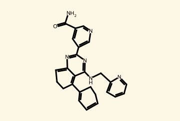 NC(=O)c1cncc(-c2nc(NCc3ccccn3)c3c(n2)=CCCC=3C2=CC=CCC2)c1